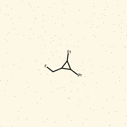 CCC1C(CF)C1C(C)C